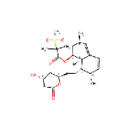 C[C@H]1C=C2C=C[C@H](C)[C@H](CC[C@@H]3C[C@@H](O)CC(=O)O3)[C@H]2[C@@H](OC(=O)C(C)(C)S(C)(=O)=O)C1